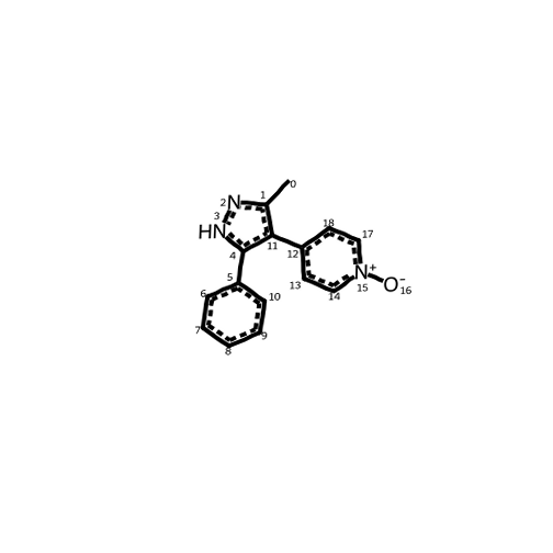 Cc1n[nH]c(-c2ccccc2)c1-c1cc[n+]([O-])cc1